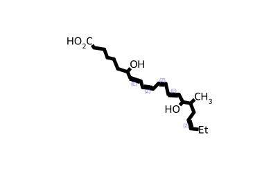 CC/C=C\CC(C)C(O)/C=C/C=C\C=C/C=C/C(O)CCCCCC(=O)O